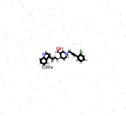 COc1ccc2nccc([C@H](F)CC[C@@H]3CCN(CC#Cc4ccccc4F)C[C@@H]3CO)c2c1